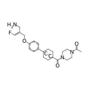 CC(=O)N1CCN(C(=O)C23CCC(c4ccc(OCC(=CF)CN)cc4)(CC2)CC3)CC1